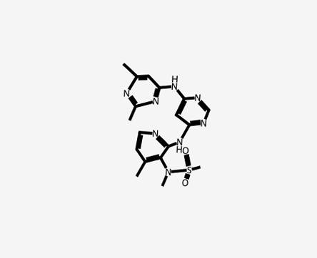 Cc1cc(Nc2cc(Nc3nccc(C)c3N(C)S(C)(=O)=O)ncn2)nc(C)n1